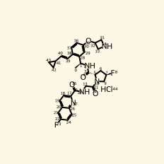 C[C@H](NC(=O)[C@@H]1C[C@@H](F)CN1C(=O)CNC(=O)c1ccc2cc(F)ccc2n1)c1cc(OC2CNC2)ccc1/C=C/C1CC1.Cl